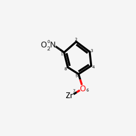 O=[N+]([O-])c1cccc([O][Zr])c1